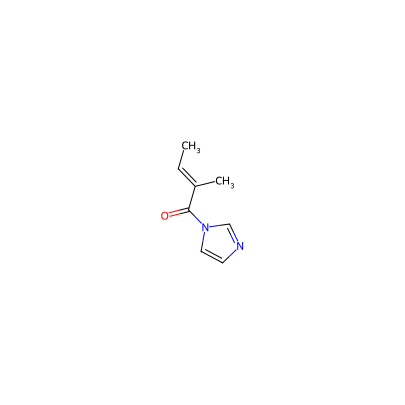 C/C=C(\C)C(=O)n1ccnc1